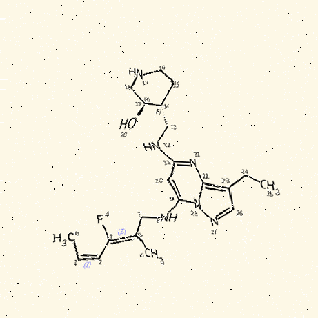 C/C=C\C(F)=C(/C)CNc1cc(NC[C@H]2CCNC[C@@H]2O)nc2c(CC)cnn12